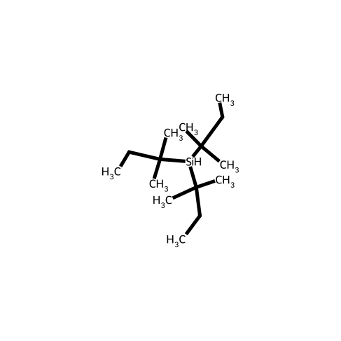 CCC(C)(C)[SiH](C(C)(C)CC)C(C)(C)CC